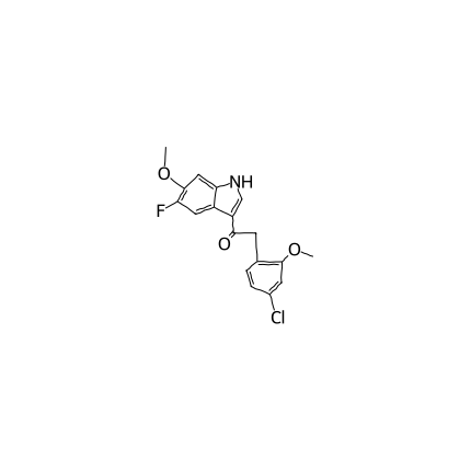 COc1cc2[nH]cc(C(=O)Cc3ccc(Cl)cc3OC)c2cc1F